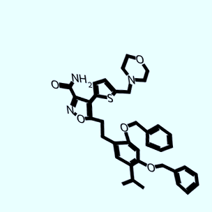 CC(C)c1cc(CCc2onc(C(N)=O)c2-c2ccc(CN3CCOCC3)s2)c(OCc2ccccc2)cc1OCc1ccccc1